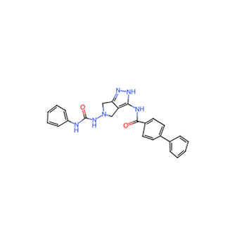 O=C(Nc1ccccc1)NN1Cc2n[nH]c(NC(=O)c3ccc(-c4ccccc4)cc3)c2C1